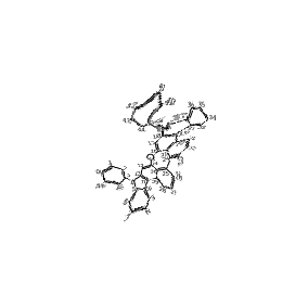 c1ccc(C2c3ccccc3-c3c2cc2oc4cc5c(c6cccc(c7cccc3c27)c46)c2ccccc2n5-c2ccccc2)cc1